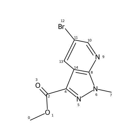 COC(=O)c1nn(C)c2ncc(Br)cc12